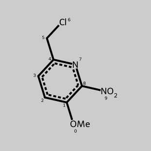 COc1ccc(CCl)nc1[N+](=O)[O-]